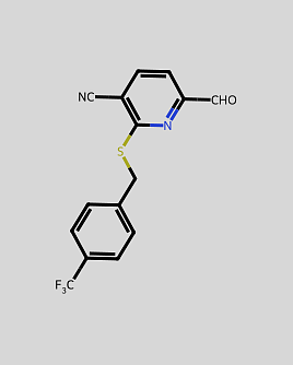 N#Cc1ccc(C=O)nc1SCc1ccc(C(F)(F)F)cc1